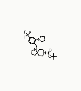 CC(C)(C)OC(=O)N1CCC2(CCCN2Cc2ccc(C(F)(F)F)cc2N2CCCC2)CC1